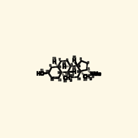 CN[C@H]1CC[C@H]2[C@@H]3CC[C@@H]4C[C@H](O)C=C[C@]4(C)[C@H]3CC[C@]12C